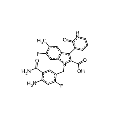 Cc1cc2c(-c3ccc[nH]c3=O)c(C(=O)O)n(Cc3cc(C(N)=O)c(N)cc3F)c2cc1F